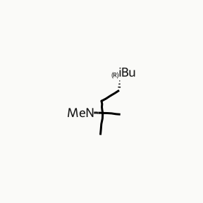 CC[C@@H](C)CCC(C)(C)NC